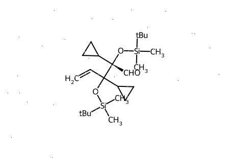 C=CC(O[Si](C)(C)C(C)(C)C)(C1CC1)[C@@](C=O)(O[Si](C)(C)C(C)(C)C)C1CC1